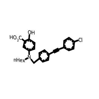 CCCCCCN(Cc1ccc(C#Cc2ccc(Cl)cc2)cc1)c1ccc(O)c(C(=O)O)c1